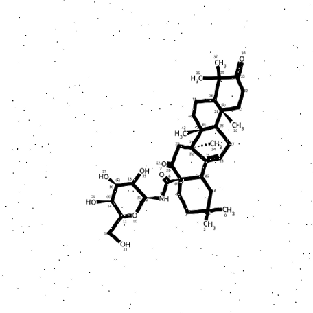 CC1(C)CC[C@]2(C(=O)N[C@H]3OC(CO)[C@@H](O)[C@@H](O)C3O)C(=O)C[C@]3(C)C(=CCC4[C@@]5(C)CCC(=O)C(C)(C)C5CC[C@]43C)C2C1